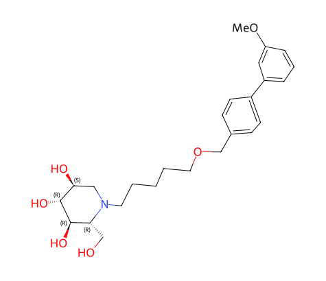 COc1cccc(-c2ccc(COCCCCCN3C[C@H](O)[C@@H](O)[C@H](O)[C@H]3CO)cc2)c1